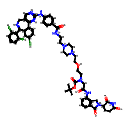 CC(C)(C)OC(=O)N(CCOCCN1CCN(CCNC(=O)c2ccc(Nc3ncc4c(n3)-c3ccc(Cl)cc3C(c3c(F)cccc3F)=NC4)cc2)CC1)CC(=O)Nc1cccc2c1CN(C1CCC(=O)NC1=O)C2=O